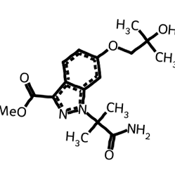 COC(=O)c1nn(C(C)(C)C(N)=O)c2cc(OCC(C)(C)O)ccc12